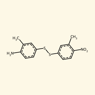 Cc1cc(SSc2ccc([N+](=O)[O-])c(C)c2)ccc1N